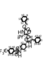 CC(C)[C@H](NC(=O)OCc1ccccc1)C(=O)OC[C@@H](NC(=O)[C@H]1CC[C@H](NS(=O)(=O)c2ccc(C(F)(F)F)cc2)CC1)c1ccccc1